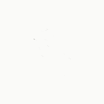 C[C@H](Nc1ncc(-c2nnc(C(F)F)o2)cn1)c1ccc(Cl)nc1